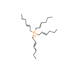 CCC/C=C/C[PH](C/C=C/CCC)(C/C=C/CCC)C/C=C/CCC